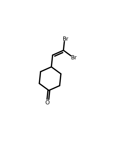 O=C1CCC(C=C(Br)Br)CC1